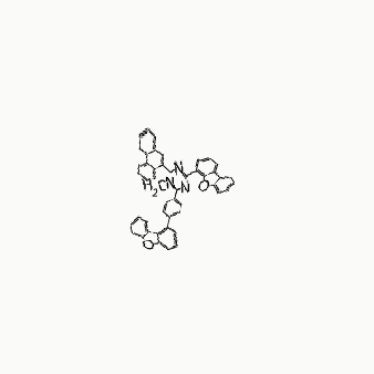 C=N/C(=N\C(=N/Cc1cc2ccccc2c2ccccc12)c1cccc2c1oc1ccccc12)c1ccc(-c2cccc3oc4ccccc4c23)cc1